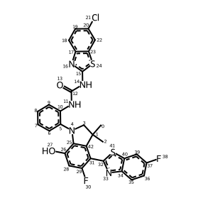 CC1(C)CN(c2ccccc2NC(=O)Nc2nc3ccc(Cl)cc3s2)c2c(O)cc(F)c(-c3nc4ccc(F)cc4s3)c21